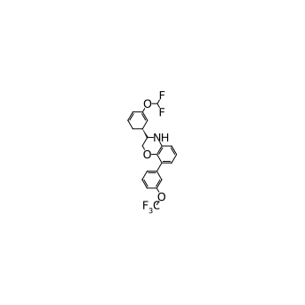 FC(F)OC1=C[C@@H](C2COc3c(cccc3-c3cccc(OC(F)(F)F)c3)N2)CC=C1